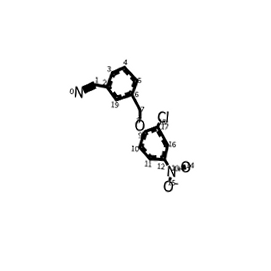 N#Cc1cccc(COc2ccc([N+](=O)[O-])cc2Cl)c1